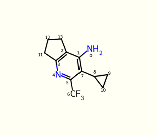 Nc1c2c(nc(C(F)(F)F)c1C1CC1)CCC2